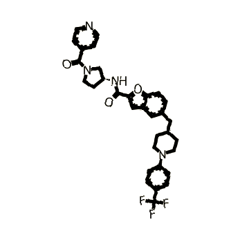 O=C(N[C@@H]1CCN(C(=O)c2ccncc2)C1)c1cc2cc(CC3CCN(c4ccc(C(F)(F)F)cc4)CC3)ccc2o1